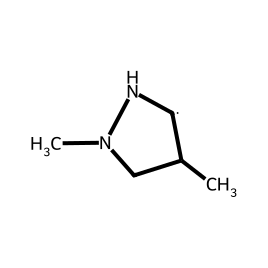 CC1[CH]NN(C)C1